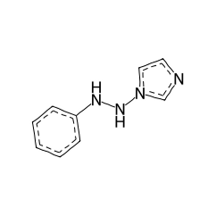 c1ccc(NNn2ccnc2)cc1